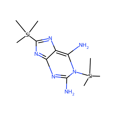 C[Si](C)(C)c1nc2nc(N)n([Si](C)(C)C)c(N)c-2n1